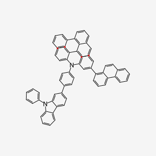 c1ccc(-c2cccc3cccc(-c4ccccc4N(c4ccc(-c5ccc6c7ccccc7n(-c7ccccc7)c6c5)cc4)c4cccc(-c5cccc6c5ccc5ccccc56)c4)c23)cc1